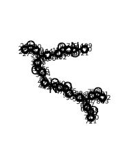 c1ccc(-c2nc3cc4oc5cc(-c6ccc(N(c7ccc8oc9ccccc9c8c7)c7ccc8oc9cc(-c%10cccc(-c%11nc%12cc%13c(cc%12o%11)oc%11cc(-c%12ccc(N(c%14ccc%15c(c%14)oc%14ccccc%14%15)c%14ccc%15oc%16ccccc%16c%15c%14)cc%12)ccc%11%13)c%10)ccc9c8c7)cc6)ccc5c4cc3o2)cc1